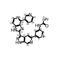 CCCC(=O)Nc1cncc(-c2cc3c(-c4nc5c(-c6cccnc6)nccc5[nH]4)n[nH]c3cn2)c1